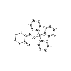 O=C1CCCC/C1=N/O[Si](c1ccccc1)(c1ccccc1)c1ccccc1